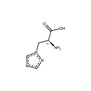 N[C@@H](Cn1cncn1)C(=O)O